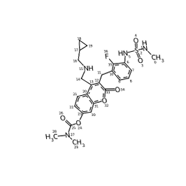 CNS(=O)(=O)Nc1cccc(Cc2c(CNCC3CC3)c3ccc(OC(=O)N(C)C)cc3oc2=O)c1F